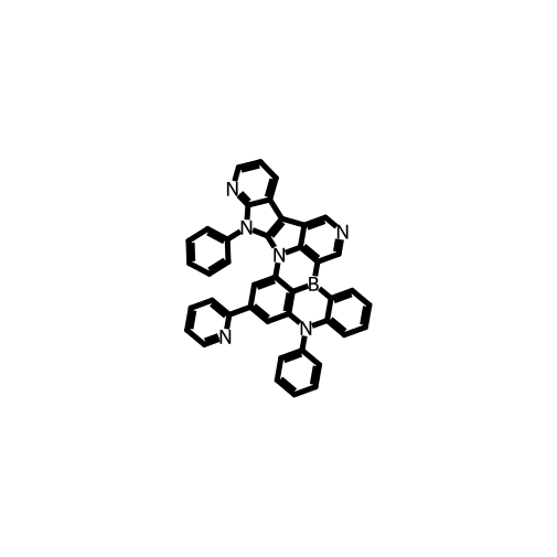 c1ccc(N2c3ccccc3B3c4c2cc(-c2ccccn2)cc4-n2c4c3cncc4c3c4cccnc4n(-c4ccccc4)c32)cc1